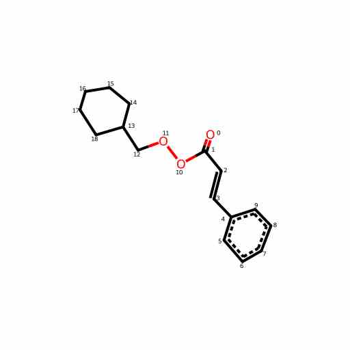 O=C(C=Cc1ccccc1)OOCC1CCCCC1